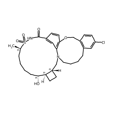 C[C@@H]1CCCC[C@@H](O)[C@@H]2CC[C@H]2CN2CCCCc3cc(Cl)ccc3COc3ccc(cc32)C(=O)NS1(=O)=O